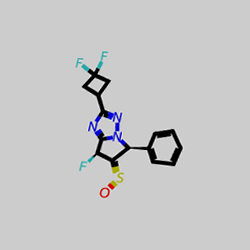 O=S=C1[C@@H](F)c2nc(C3CC(F)(F)C3)nn2[C@H]1c1ccccc1